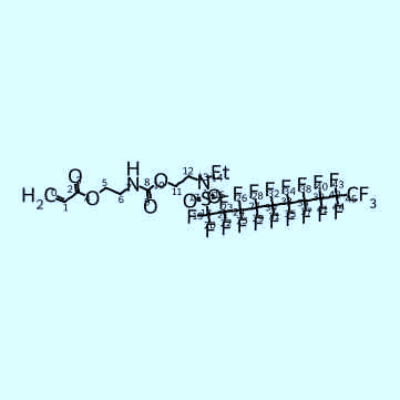 C=CC(=O)OCCNC(=O)OCCN(CC)S(=O)(=O)C(F)(F)C(F)(F)C(F)(F)C(F)(F)C(F)(F)C(F)(F)C(F)(F)C(F)(F)C(F)(F)C(F)(F)F